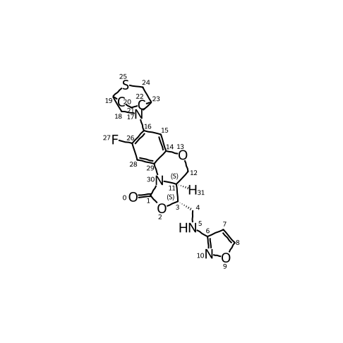 O=C1O[C@@H](CNc2ccon2)[C@@H]2COc3cc(N4CC5CCCC4CS5)c(F)cc3N12